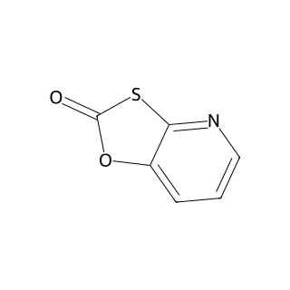 O=c1oc2cccnc2s1